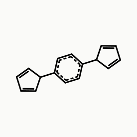 C1=CC(c2ccc(C3C=CC=C3)cc2)C=C1